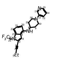 CCC#Cc1cc2c(NC3CCN(c4cccnc4)CC3)cccc2n1CC(F)(F)F